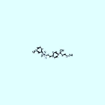 O=S(=O)(NCCc1ccc(C(O)CCCO)cc1)c1cccc(Cl)c1